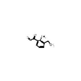 CCc1cccc(C(=O)N=O)c1C